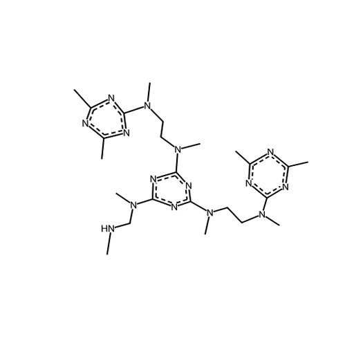 CNCN(C)c1nc(N(C)CCN(C)c2nc(C)nc(C)n2)nc(N(C)CCN(C)c2nc(C)nc(C)n2)n1